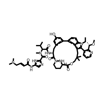 CCn1c(-c2cccnc2[C@H](C)OC)c2c3cc(ccc31)-c1cc(O)cc(c1)C[C@H](NC(=O)C(C(C)C)N(C)C(=O)c1ncc(NC(=O)/C=C/CN(C)C)[nH]1)C(=O)N1CCC[C@H](N1)C(=O)OCC(C)(C)C2